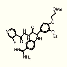 CCOc1cc(C(Nc2ccc(C(=N)N)cc2)C(=O)NNC(=O)c2ccncc2F)ccc1OCCOC